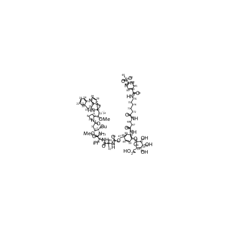 CC[C@H](C)[C@@H]([C@@H](CC(=O)N1CCC[C@H]1[C@H](OC)[C@@H](C)C(=O)N[C@@H](Cc1ccccc1)c1nccs1)OC)N(C)C(=O)[C@@H](NC(=O)C(C)(C)NC(=O)OCc1ccc(O[C@@H]2O[C@H](C(=O)O)[C@@H](O)[C@H](O)[C@H]2O)c(NC(=O)CCNC(=O)CCCCCNC(=O)c2cnc(S(C)(=O)=O)nc2)c1)C(C)C